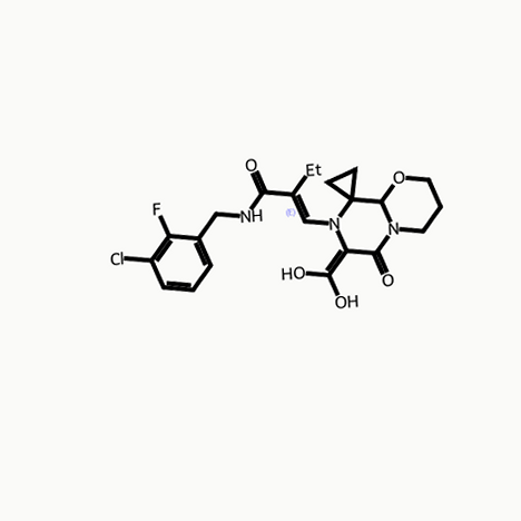 CC/C(=C\N1C(=C(O)O)C(=O)N2CCCOC2C12CC2)C(=O)NCc1cccc(Cl)c1F